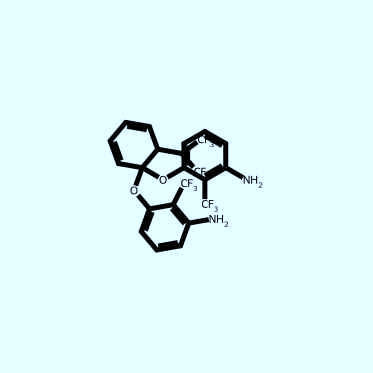 Nc1cccc(OC2(Oc3cccc(N)c3C(F)(F)F)C=CC=CC2C(C(F)(F)F)C(F)(F)F)c1C(F)(F)F